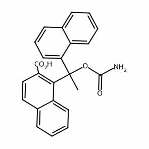 CC(OC(N)=O)(c1cccc2ccccc12)c1c(C(=O)O)ccc2ccccc12